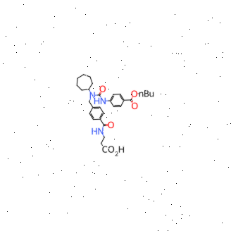 CCCCOC(=O)c1ccc(NC(=O)N(Cc2ccc(C(=O)NCCC(=O)O)cc2)C2CCCCCC2)cc1